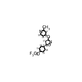 Cc1cc(OC2=NO[C@@H](c3ccc(OC(F)(F)F)cc3)C2)ccn1